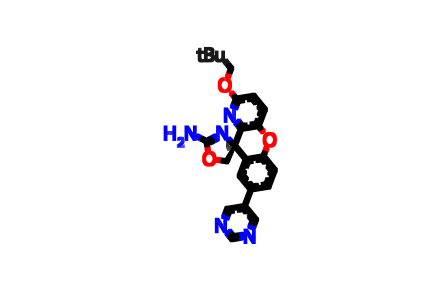 CC(C)(C)COc1ccc2c(n1)[C@]1(COC(N)=N1)c1cc(-c3cncnc3)ccc1O2